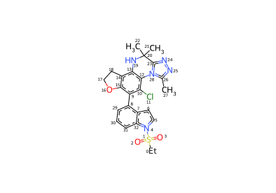 CCS(=O)(=O)n1ccc2c(-c3c(Cl)c4c(c5c3OCC5)NC(C)(C)c3nnc(C)n3-4)cccc21